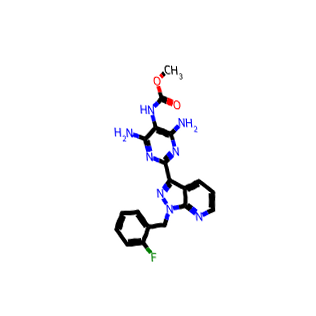 COC(=O)Nc1c(N)nc(-c2nn(Cc3ccccc3F)c3ncccc23)nc1N